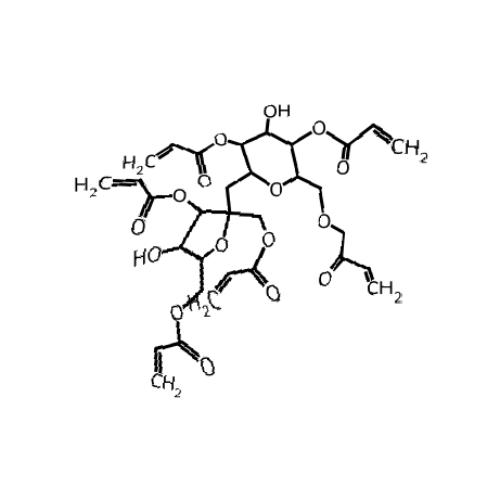 C=CC(=O)COCC1OC(CC2(COC(=O)C=C)OC(COC(=O)C=C)C(O)C2OC(=O)C=C)C(OC(=O)C=C)C(O)C1OC(=O)C=C